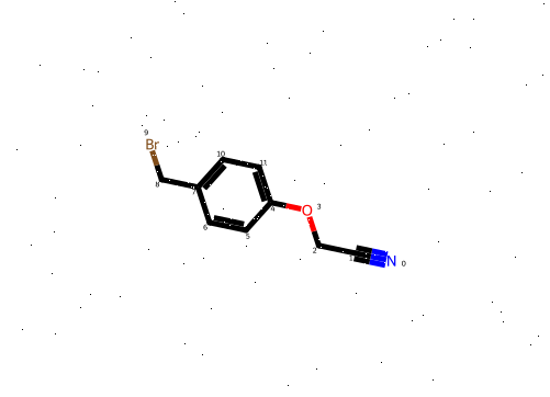 N#CCOc1ccc(CBr)cc1